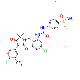 CC1(C)C(=O)N(c2ccc(F)c(C(F)(F)F)c2)C(=O)N1Cc1ccc(Cl)cc1NC(=O)Nc1ccc(S(N)(=O)=O)cc1